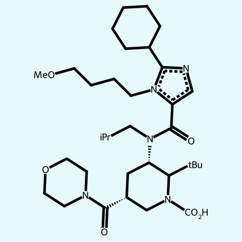 COCCCCn1c(C(=O)N(CC(C)C)[C@H]2C[C@@H](C(=O)N3CCOCC3)CN(C(=O)O)C2C(C)(C)C)cnc1C1CCCCC1